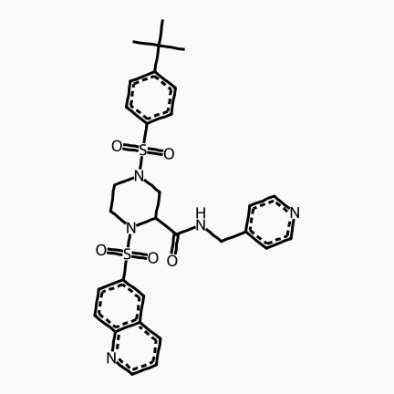 CC(C)(C)c1ccc(S(=O)(=O)N2CCN(S(=O)(=O)c3ccc4ncccc4c3)C(C(=O)NCc3ccncc3)C2)cc1